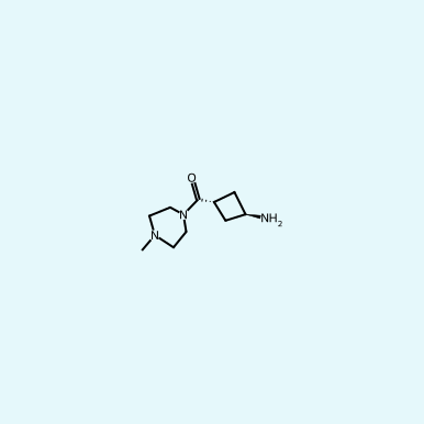 CN1CCN(C(=O)[C@H]2C[C@H](N)C2)CC1